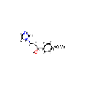 COc1ccc(C(=O)CCn2ccnc2)cc1